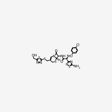 Nc1nc(C(=NOc2ccc(Cl)cc2)C(=O)NC2C(=O)N3C=C(CSc4nnc(CO)s4)CS[C@@H]23)ns1